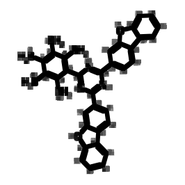 Bc1c(B)c(B)c(-c2nc(-c3ccc4c(c3)oc3ccccc34)nc(-c3ccc4c(c3)oc3ccccc34)n2)c(B)c1B